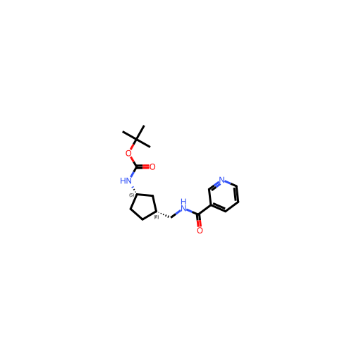 CC(C)(C)OC(=O)N[C@H]1CC[C@@H](CNC(=O)c2cccnc2)C1